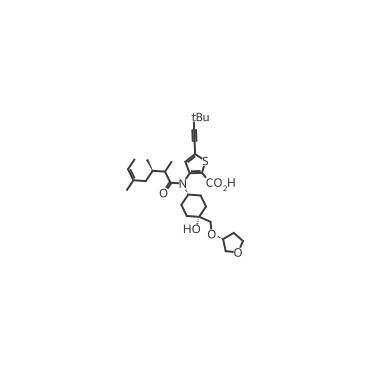 C/C=C(/C)C[C@@H](C)C(C)C(=O)N(c1cc(C#CC(C)(C)C)sc1C(=O)O)[C@H]1CC[C@](O)(CO[C@@H]2CCOC2)CC1